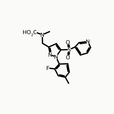 Cc1ccc(-n2nc(CN(C)C(=O)O)cc2S(=O)(=O)c2cccnc2)c(F)c1